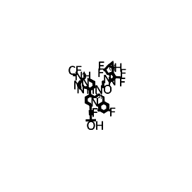 CC(C)(O)C#Cc1ccc(-c2cccn3c(NCC(F)(F)F)nnc23)c([C@H](Cc2cc(F)cc(F)c2)NC(=O)Cn2nc(C(F)F)c3c2C(F)(F)C2C[C@H]32)n1